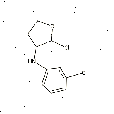 Cl[C]1OCCC1Nc1cccc(Cl)c1